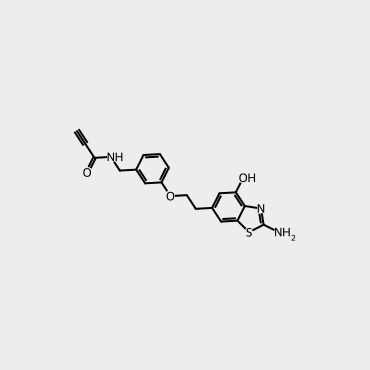 C#CC(=O)NCc1cccc(OCCc2cc(O)c3nc(N)sc3c2)c1